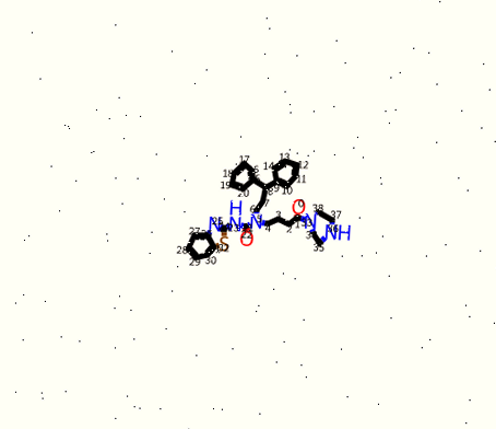 O=C(CCCN(CCC(c1ccccc1)c1ccccc1)C(=O)Nc1nc2ccccc2s1)N1CCNCC1